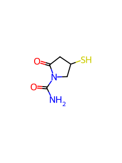 NC(=O)N1CC(S)CC1=O